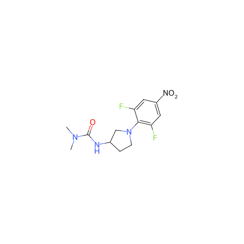 CN(C)C(=O)NC1CCN(c2c(F)cc([N+](=O)[O-])cc2F)C1